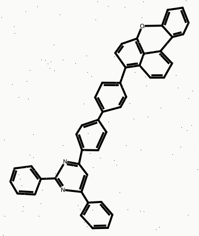 c1ccc(-c2cc(-c3ccc(-c4ccc(-c5ccc6c7c(cccc57)-c5ccccc5O6)cc4)cc3)nc(-c3ccccc3)n2)cc1